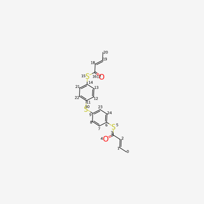 CC=CC(=O)Sc1ccc(Sc2ccc(SC(=O)C=CC)cc2)cc1